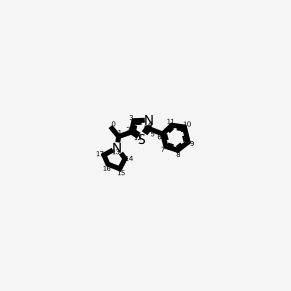 CC(c1cnc(-c2ccccc2)s1)N1CCCC1